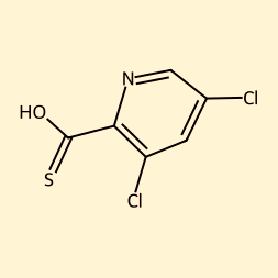 OC(=S)c1ncc(Cl)cc1Cl